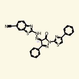 N#Cc1ccc2nc(N/N=C3\C(=O)N(c4nc(-c5ccccc5)cs4)N=C3c3ccccc3)sc2c1